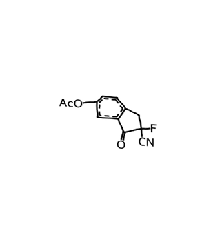 CC(=O)Oc1ccc2c(c1)C(=O)C(F)(C#N)C2